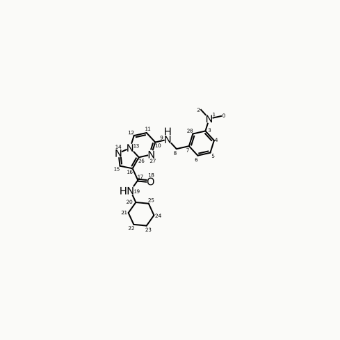 CN(C)c1cccc(CNc2ccn3ncc(C(=O)NC4CCCCC4)c3n2)c1